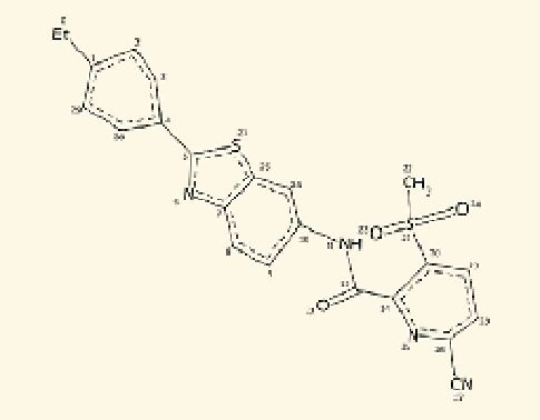 CCc1ccc(-c2nc3ccc(NC(=O)c4nc(C#N)ccc4S(C)(=O)=O)cc3s2)cc1